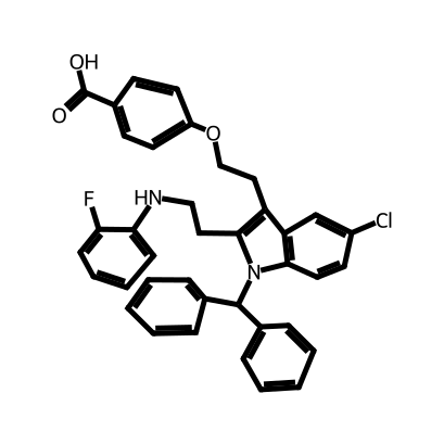 O=C(O)c1ccc(OCCc2c(CCNc3ccccc3F)n(C(c3ccccc3)c3ccccc3)c3ccc(Cl)cc23)cc1